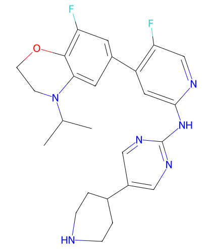 CC(C)N1CCOc2c(F)cc(-c3cc(Nc4ncc(C5CCNCC5)cn4)ncc3F)cc21